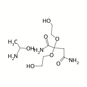 CC(N)O.NC(=O)CC(OCCO)(OCCO)C(N)=O